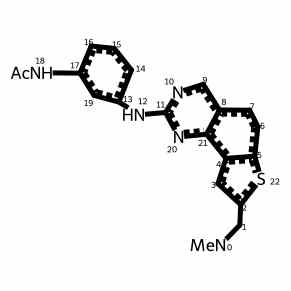 CNCc1cc2c(ccc3cnc(Nc4cccc(NC(C)=O)c4)nc32)s1